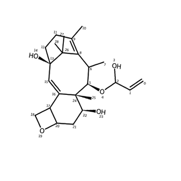 C=CC(O)O[C@@H]1C(C)C2=C(C)CC[C@@](O)(/C=C3/C4COC4C[C@H](O)[C@]31C)C2(C)C